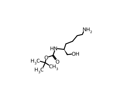 CC(C)(C)OC(=O)N[C@H](CO)CCCCN